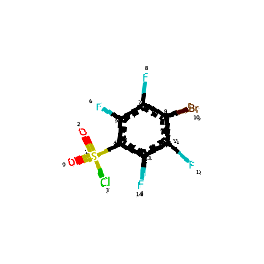 O=S(=O)(Cl)c1c(F)c(F)c(Br)c(F)c1F